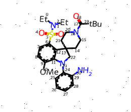 CCN(CC)S(=O)(=O)c1ccc(OC)c2c1C1(CCN(C(=O)C(C)(C)C)CC1)CN2c1ccccc1N